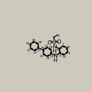 CCS(=O)(=O)Nc1ccccc1Nc1ccc(-c2ccccc2)cc1